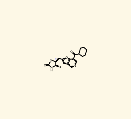 O=C1NC(=O)/C(=C\c2cc3cncc(C(=O)N4CCCCC4)c3o2)S1